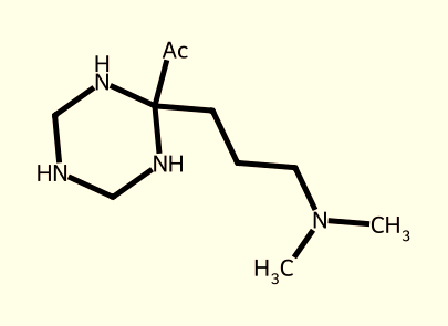 CC(=O)C1(CCCN(C)C)NCNCN1